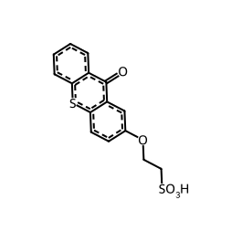 O=c1c2ccccc2sc2ccc(OCCS(=O)(=O)O)cc12